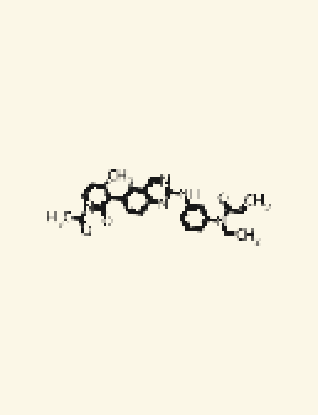 C=CC(=O)N(CC)c1cccc(Nc2ncc3cc(-c4c(C)ccn(C(C)=O)c4=O)ccc3n2)c1